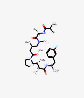 CC[C@H](C)C(C(CC(=O)N1CCC[C@H]1[C@H](OC)[C@@H](C)C(=O)N[C@@H](Cc1cccc(F)c1)C(=O)O)OC)N(C)C(=O)[C@@H](NC(=O)C(NC)C(C)C)C(C)C